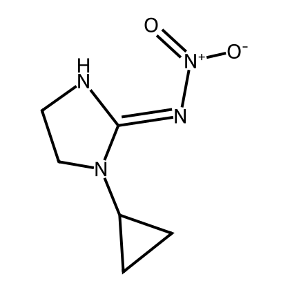 O=[N+]([O-])/N=C1\NCCN1C1CC1